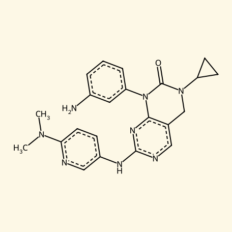 CN(C)c1ccc(Nc2ncc3c(n2)N(c2cccc(N)c2)C(=O)N(C2CC2)C3)cn1